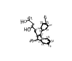 CCC(O)CC(O)C=Cc1c(C(C)C)c2ccccn2c1-c1ccc(F)cc1